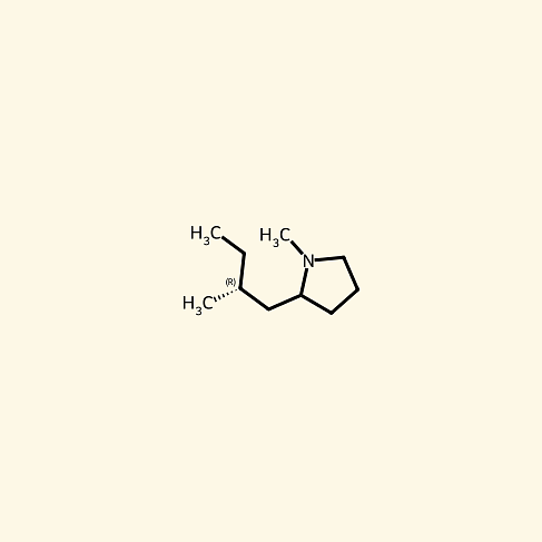 CC[C@@H](C)CC1CCCN1C